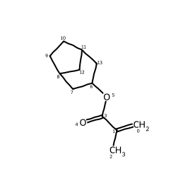 C=C(C)C(=O)OC1CC2CCC(C2)C1